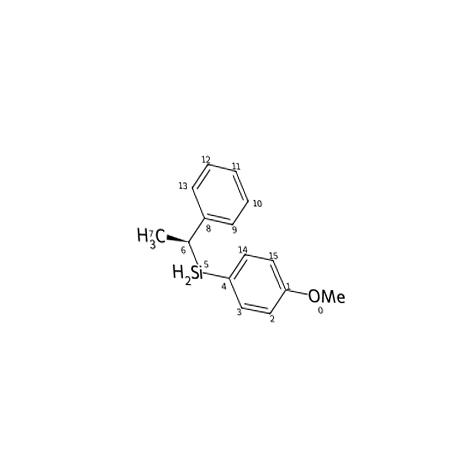 COc1ccc([SiH2][C@@H](C)c2ccccc2)cc1